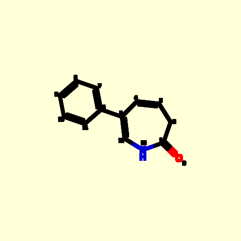 O=C1CC=CC(c2ccccc2)=CN1